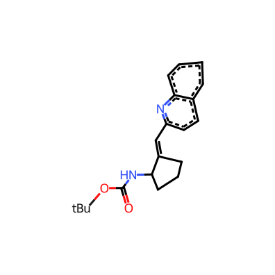 CC(C)(C)OC(=O)NC1CCC/C1=C\c1ccc2ccccc2n1